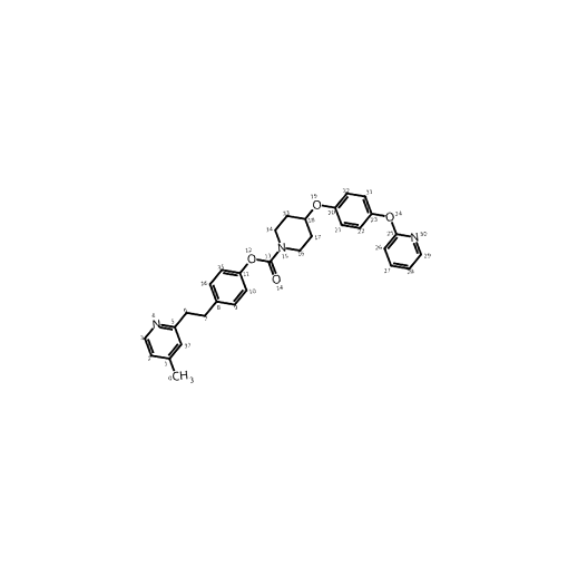 Cc1ccnc(CCc2ccc(OC(=O)N3CCC(Oc4ccc(Oc5ccccn5)cc4)CC3)cc2)c1